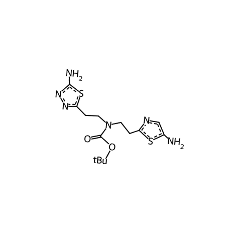 CC(C)(C)OC(=O)N(CCc1ncc(N)s1)CCc1nnc(N)s1